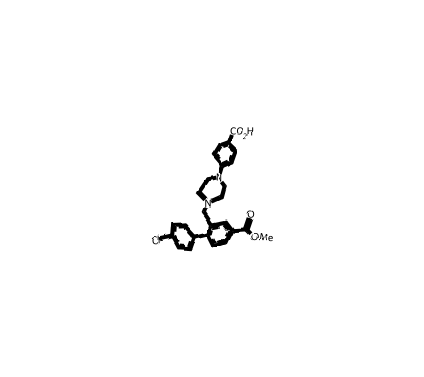 COC(=O)c1ccc(-c2ccc(Cl)cc2)c(CN2CCN(c3ccc(C(=O)O)cc3)CC2)c1